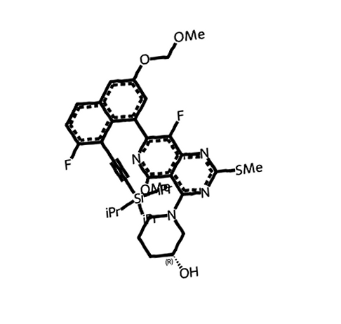 COCOc1cc(-c2nc(OC)c3c(N4CCC[C@@H](O)C4)nc(SC)nc3c2F)c2c(C#C[Si](C(C)C)(C(C)C)C(C)C)c(F)ccc2c1